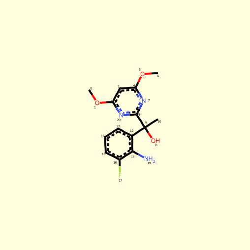 COc1cc(OC)nc(C(C)(O)c2cccc(F)c2N)n1